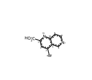 O=C(O)c1cc(Br)c2cnccc2n1